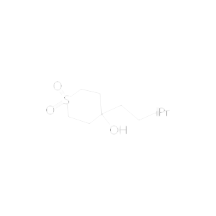 CC(C)CCC1(O)CCS(=O)(=O)CC1